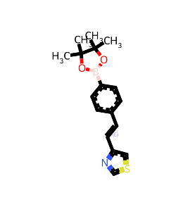 CC1(C)OB(c2ccc(/C=C/c3cscn3)cc2)OC1(C)C